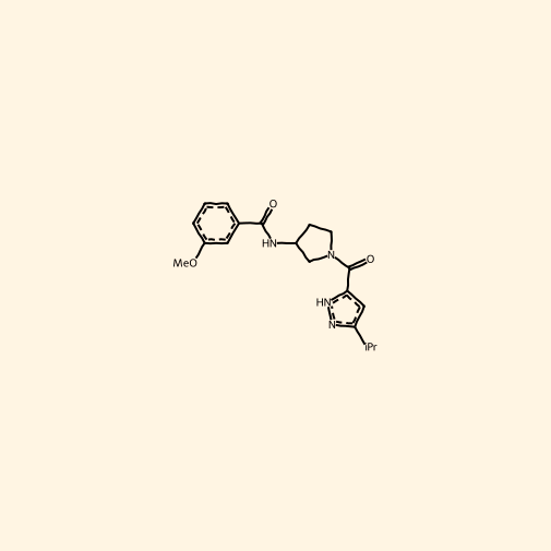 COc1cccc(C(=O)NC2CCN(C(=O)c3cc(C(C)C)n[nH]3)C2)c1